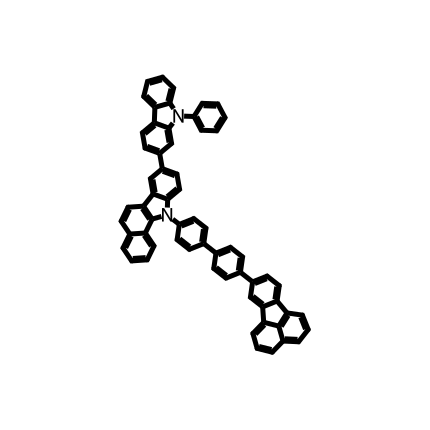 c1ccc(-n2c3ccccc3c3ccc(-c4ccc5c(c4)c4ccc6ccccc6c4n5-c4ccc(-c5ccc(-c6ccc7c(c6)-c6cccc8cccc-7c68)cc5)cc4)cc32)cc1